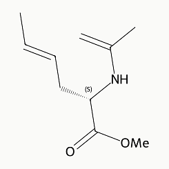 C=C(C)N[C@@H](CC=CC)C(=O)OC